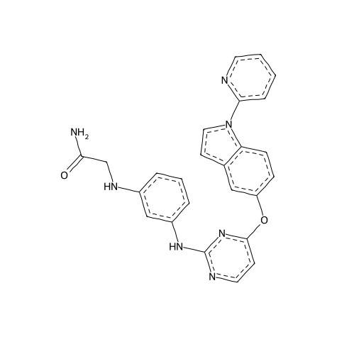 NC(=O)CNc1cccc(Nc2nccc(Oc3ccc4c(ccn4-c4ccccn4)c3)n2)c1